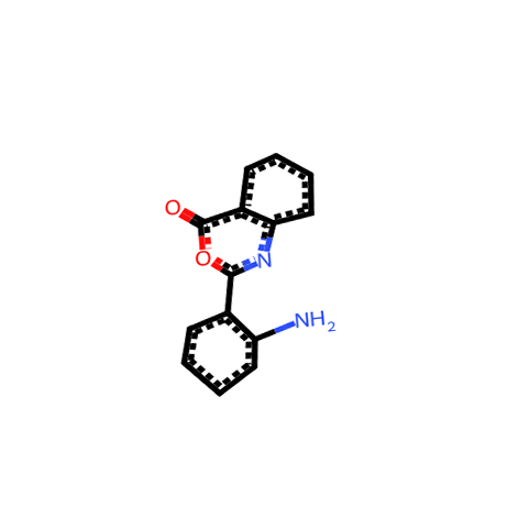 Nc1ccccc1-c1nc2ccccc2c(=O)o1